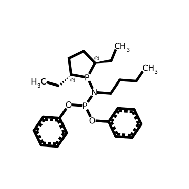 CCCCN(P(Oc1ccccc1)Oc1ccccc1)P1[C@H](CC)CC[C@H]1CC